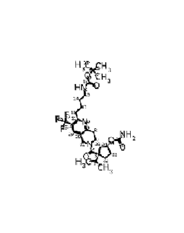 CC(C)[C@]1(C(=O)N2CCc3nc(CCCCNC(=O)OC(C)(C)C)c(C(F)(F)F)cc3C2)CC[C@@H](OC(N)=O)C1